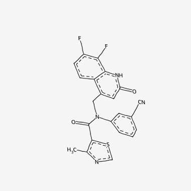 Cc1ncsc1C(=O)N(Cc1cc(=O)[nH]c2c(F)c(F)ccc12)c1cccc(C#N)c1